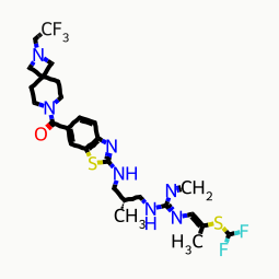 C=N/C(=N\C=C(/C)SC(F)F)NC[C@H](C)CNc1nc2ccc(C(=O)N3CCC4(CC3)CN(CC(F)(F)F)C4)cc2s1